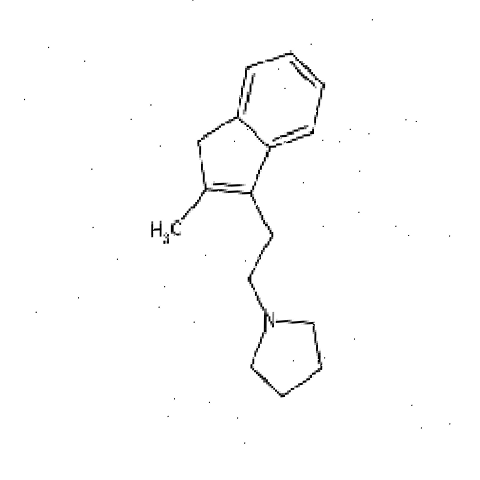 CC1=C(CCN2CCCC2)c2ccccc2C1